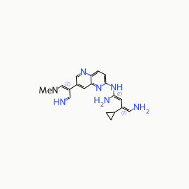 CN/C=C(\C=N)c1cnc2ccc(N/C(N)=C/C(=C\N)C3CC3)nc2c1